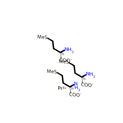 CSCC[C@H](N)C(=O)[O-].CSCC[C@H](N)C(=O)[O-].CSCC[C@H](N)C(=O)[O-].[Pr+3]